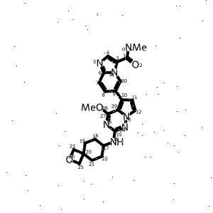 CNC(=O)c1cnc2ccc(-c3ccn4nc(NC5CCC6(CC5)COC6)nc(OC)c34)cn12